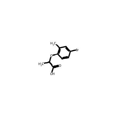 Cc1cc(Br)ccc1OC(C)C(=O)O